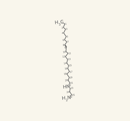 CCCCCCCCC=CCCCCCCCCCCCCNCCCN